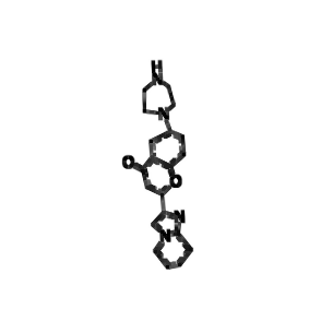 O=c1cc(-c2cn3ccccc3n2)oc2ccc(N3CCNCC3)cc12